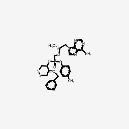 Cc1ccc(OP(=O)(CO[C@H](C)Cn2cnc3c(N)ncnc32)OC2CSSC[C@@H]2OCc2ccccc2)cc1